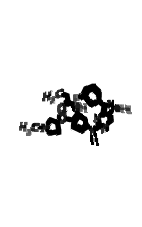 C=CC(=O)Nc1cc(Nc2ncc3[nH]nc(-c4cccc(F)c4)c3n2)ccc1OC1CCN(C)C1